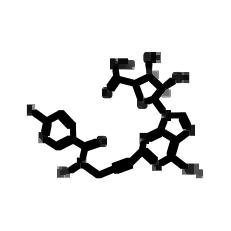 CNC(=O)C1OC(n2cnc3c(N)nc(C#CCN(C(=O)c4ccc(F)nc4)C(C)C)nc32)[C@H](O)[C@@H]1O